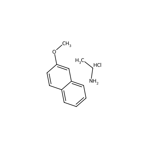 CCN.COc1ccc2ccccc2c1.Cl